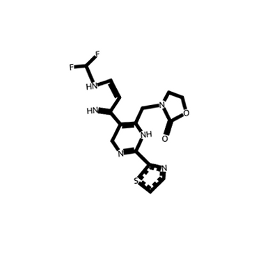 N=C(/C=C\NC(F)F)C1=C(CN2CCOC2=O)NC(c2nccs2)=NC1